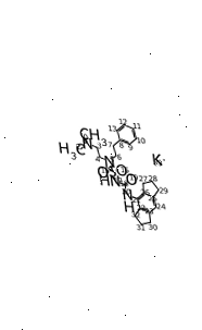 CN(C)CCN(CCc1ccccc1)S(=O)(=O)NC(=O)Nc1c2c(cc3c1CCC3)CCC2.[K]